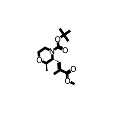 COC(=O)C(C)=C[C@@H]1[C@@H](C)OCCN1C(=O)OC(C)(C)C